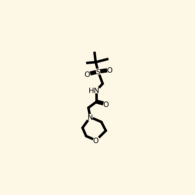 CC(C)(C)S(=O)(=O)CNC(=O)CN1CCOCC1